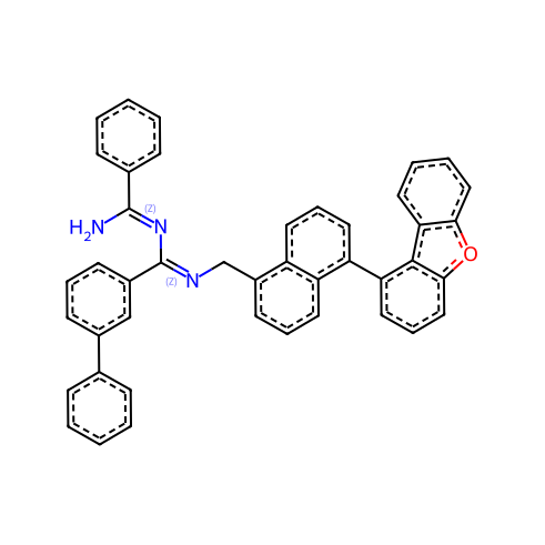 N/C(=N\C(=N/Cc1cccc2c(-c3cccc4oc5ccccc5c34)cccc12)c1cccc(-c2ccccc2)c1)c1ccccc1